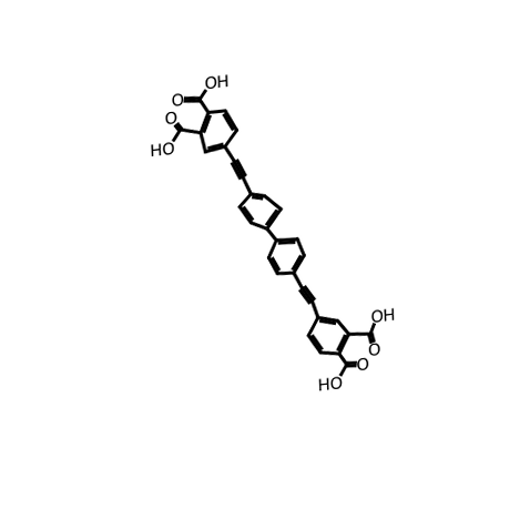 O=C(O)c1ccc(C#Cc2ccc(-c3ccc(C#Cc4ccc(C(=O)O)c(C(=O)O)c4)cc3)cc2)cc1C(=O)O